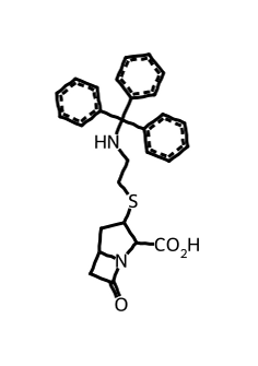 O=C(O)C1C(SCCNC(c2ccccc2)(c2ccccc2)c2ccccc2)CC2CC(=O)N21